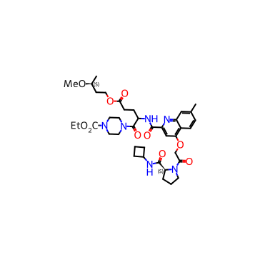 CCOC(=O)N1CCN(C(=O)C(CCC(=O)OCC[C@H](C)OC)NC(=O)c2cc(OCC(=O)N3CCC[C@H]3C(=O)NC3CCC3)c3ccc(C)cc3n2)CC1